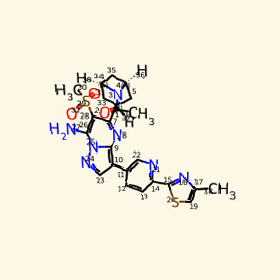 CC(=O)N1[C@@H]2C[C@H](c3nc4c(-c5ccc(-c6nc(C)cs6)nc5)cnn4c(N)c3S(C)(=O)=O)C[C@H]1C2